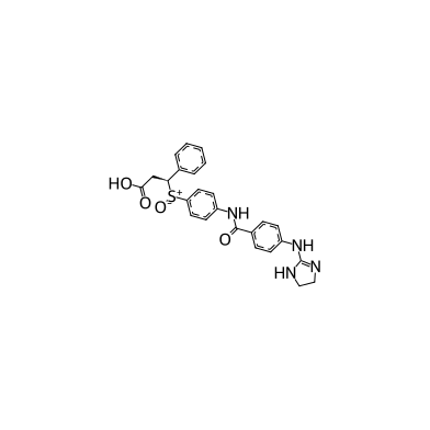 O=C(O)C[C@@H](c1ccccc1)[S+]([O-])c1ccc(NC(=O)c2ccc(NC3=NCCN3)cc2)cc1